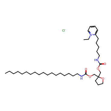 CCCCCCCCCCCCCCCCCCNC(=O)OCC1(COC(=O)NCCCCCc2cccc[n+]2CC)CCCO1.[Cl-]